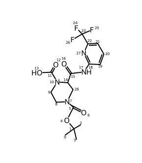 CC(C)(C)OC(=O)N1CCN(C(=O)O)C(C(=O)Nc2cccc(C(F)(F)F)n2)C1